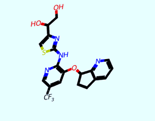 OCC(O)c1csc(Nc2ncc(C(F)(F)F)cc2OC2CCc3cccnc32)n1